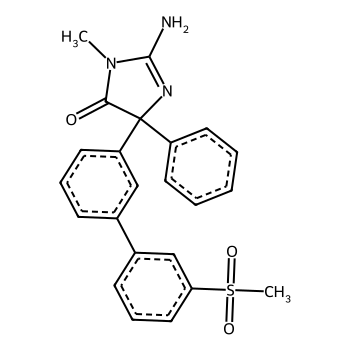 CN1C(=O)C(c2ccccc2)(c2cccc(-c3cccc(S(C)(=O)=O)c3)c2)N=C1N